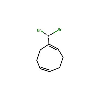 [Br][Pt]([Br])[C]1=CCCC=CCC1